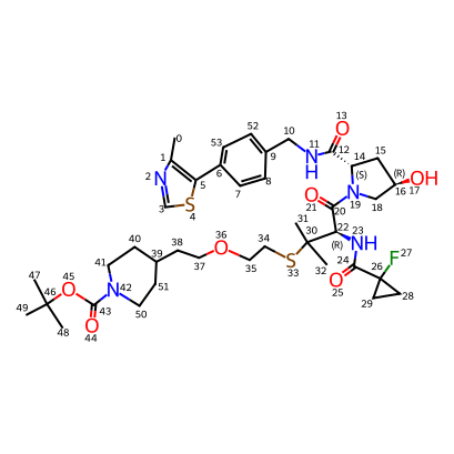 Cc1ncsc1-c1ccc(CNC(=O)[C@@H]2C[C@@H](O)CN2C(=O)[C@@H](NC(=O)C2(F)CC2)C(C)(C)SCCOCCC2CCN(C(=O)OC(C)(C)C)CC2)cc1